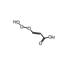 O=C(O)C=COOO